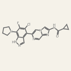 O=C(Nc1cn2cc(-c3c(Cl)c(F)c(N4CCCC4)c4[nH]ncc34)ncc2n1)C1CC1